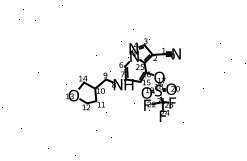 N#Cc1cnn2cc(NCC3CCOC3)cc(OS(=O)(=O)C(F)(F)F)c12